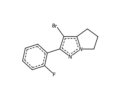 Fc1ccccc1-c1nn2c(c1Br)CCC2